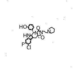 C[C@@]12Cc3c([nH]c4cc(F)c(Cl)cc34)[C@@H](c3cccc(O)c3)N1C(=O)N(CCN1CCCCC1)C2=O